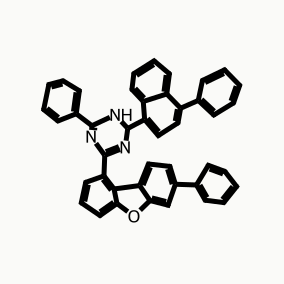 c1ccc(C2=NC(c3cccc4oc5cc(-c6ccccc6)ccc5c34)=NC(c3ccc(-c4ccccc4)c4ccccc34)N2)cc1